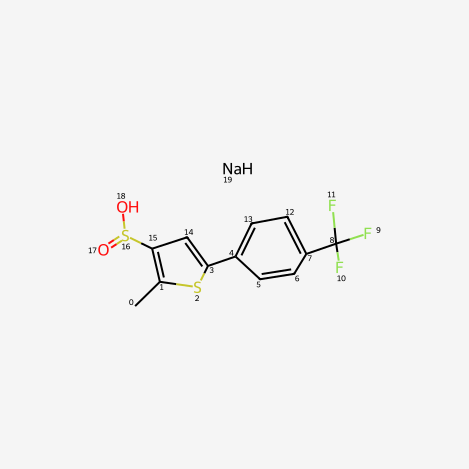 Cc1sc(-c2ccc(C(F)(F)F)cc2)cc1S(=O)O.[NaH]